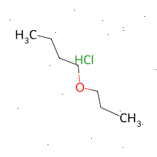 CCCCOCCC.Cl